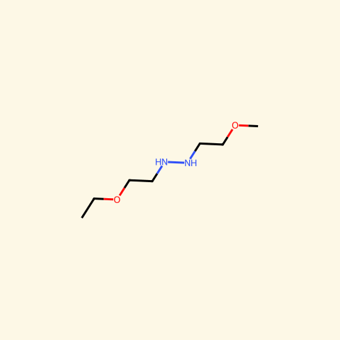 CCOCCNNCCOC